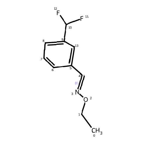 CCO/N=[C]/c1cccc(C(F)F)c1